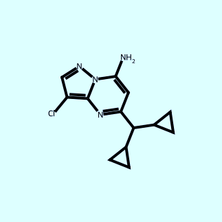 Nc1cc(C(C2CC2)C2CC2)nc2c(Cl)cnn12